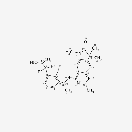 C=C(C)C(F)(F)c1cccc([C@@H](C)Nc2nc(C)nc3cc4c(cc23)N(C)C(=O)C4(C)C)c1F